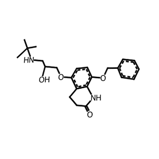 CC(C)(C)NCC(O)COc1ccc(OCc2ccccc2)c2c1CCC(=O)N2